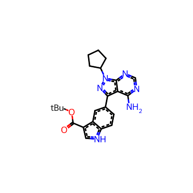 CC(C)(C)OC(=O)c1c[nH]c2ccc(-c3nn(C4CCCC4)c4ncnc(N)c34)cc12